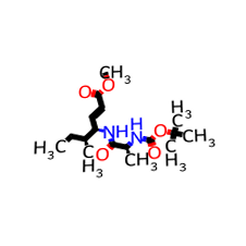 CC[C@H](C)[C@@H](/C=C/C(=O)OC)NC(=O)[C@H](C)NC(=O)OC(C)(C)C